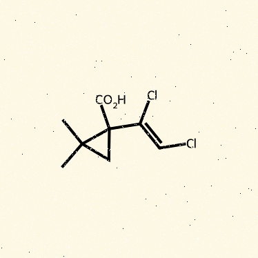 CC1(C)CC1(C(=O)O)C(Cl)=CCl